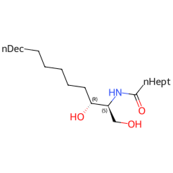 CCCCCCCCCCCCCCC[C@@H](O)[C@H](CO)NC(=O)CCCCCCC